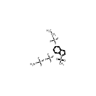 CC.CS(=O)(=O)n1ccc2ccccc21.F[B-](F)(F)F.F[B-](F)(F)F.F[B-](F)(F)F.N